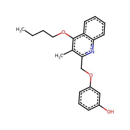 CCCCOc1c(C)c(COc2cccc(O)c2)nc2ccccc12